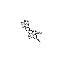 CC#Cc1cc(Cl)c(C2C(=O)CC3(CCN(C(=O)NC(=O)C(C)(C)C)CC3)CC2=O)c(OC)c1